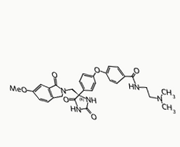 COc1ccc2c(c1)C(=O)N(C[C@@]1(c3ccc(Oc4ccc(C(=O)NCCN(C)C)cc4)cc3)NC(=O)NC1=O)C2